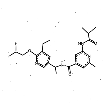 CCc1cc(C(C)NC(=O)c2cc(C)nc(NC(=O)C(C)C)c2)cnc1OCC(F)F